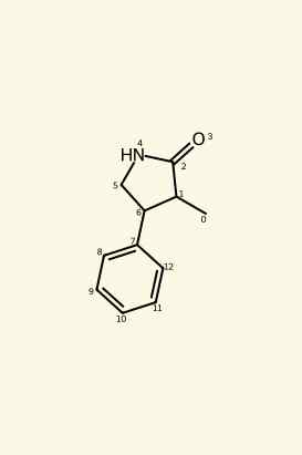 CC1C(=O)NCC1c1ccccc1